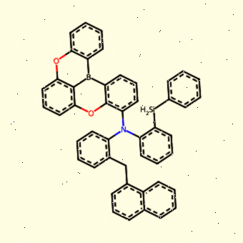 c1ccc([SiH2]c2ccccc2N(c2ccccc2Cc2cccc3ccccc23)c2cccc3c2Oc2cccc4c2B3c2ccccc2O4)cc1